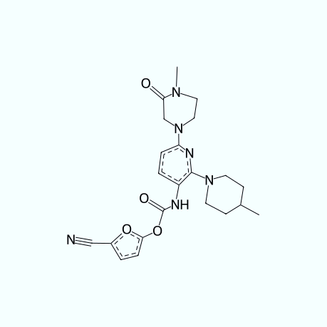 CC1CCN(c2nc(N3CCN(C)C(=O)C3)ccc2NC(=O)Oc2ccc(C#N)o2)CC1